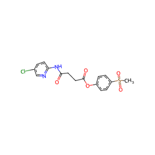 CS(=O)(=O)c1ccc(OC(=O)CCC(=O)Nc2ccc(Cl)cn2)cc1